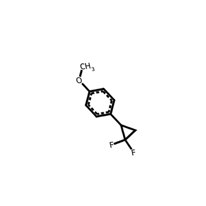 COc1ccc(C2CC2(F)F)cc1